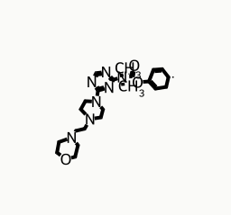 C[N+](C)(C(=O)OC1=CC[CH]C=C1)c1ncnc(N2CCN(CCN3CCOCC3)CC2)n1